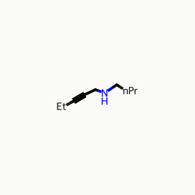 CCC#CCNCCCC